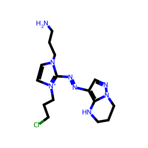 NCCCn1cc[n+](CCCCl)c1/N=N/c1cnn2c1NCCC2